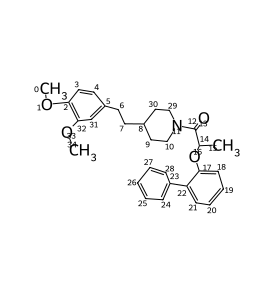 COc1ccc(CCC2CCN(C(=O)C(C)Oc3ccccc3-c3ccccc3)CC2)cc1OC